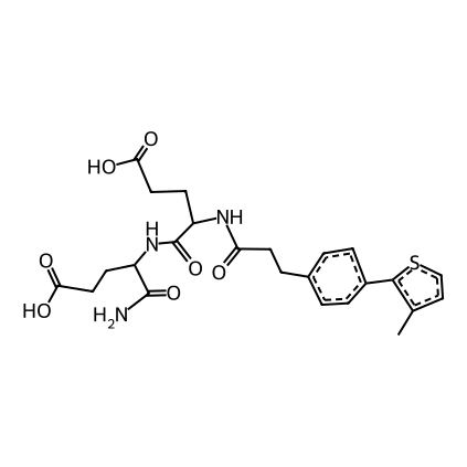 Cc1ccsc1-c1ccc(CCC(=O)NC(CCC(=O)O)C(=O)NC(CCC(=O)O)C(N)=O)cc1